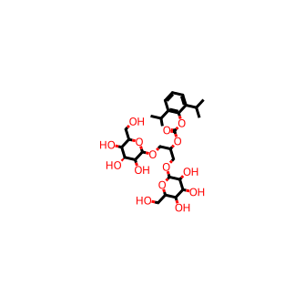 CC(C)c1cccc(C(C)C)c1OC(=O)OC(COC1OC(CO)C(O)C(O)C1O)COC1OC(CO)C(O)[C@H](O)C1O